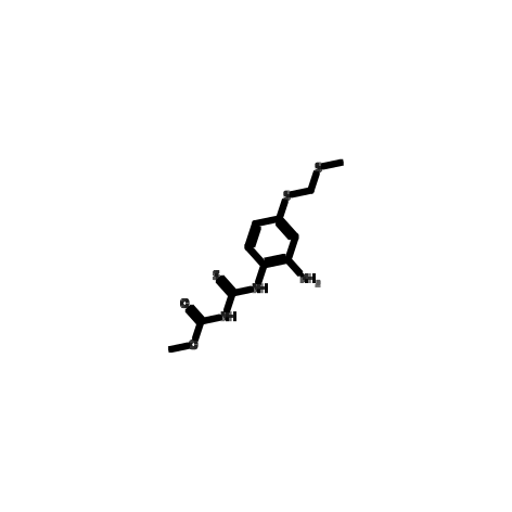 COC(=O)NC(=S)Nc1ccc(SCSC)cc1N